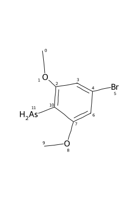 COc1cc(Br)cc(OC)c1[AsH2]